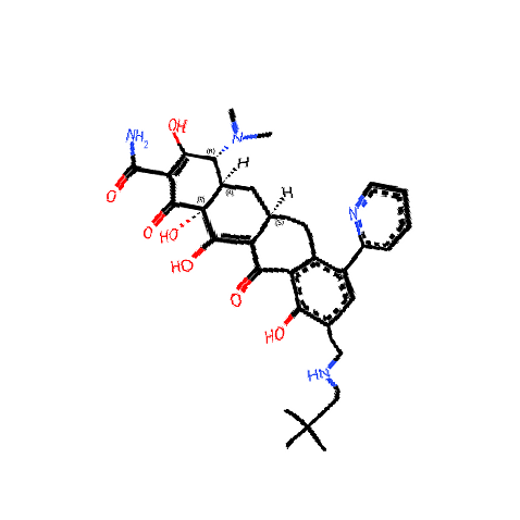 CN(C)[C@H]1C(O)=C(C(N)=O)C(=O)[C@]2(O)C(O)=C3C(=O)c4c(O)c(CNCC(C)(C)C)cc(-c5ccccn5)c4C[C@@H]3C[C@H]12